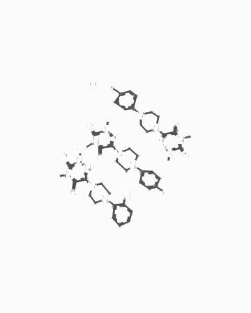 COc1ccc(N2CCN(c3nn(C)c(=O)n(C)c3=O)CC2)cc1.Cn1nc(N2CCN(c3ccc(F)cc3)CC2)c(=O)n(C)c1=O.Cn1nc(N2CCN(c3ccccc3Cl)CC2)c(=O)n(C)c1=O